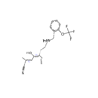 C=C/C(CCNCc1ccccc1OC(F)(F)F)=C(O)\C=C(/C)C#N